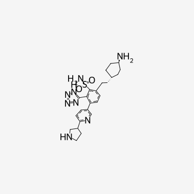 NS(=O)(=O)c1c(CC[C@H]2CC[C@H](N)CC2)ccc(-c2ccc(C3CCNC3)nc2)c1-c1nnn[nH]1